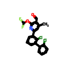 Cc1cc(-c2cccc(-c3ccccc3Cl)c2Cl)nc(OC(F)F)c1C=O